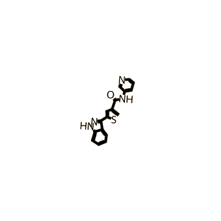 O=C(Nc1cccnc1)c1csc(-c2n[nH]c3ccccc23)c1